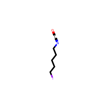 O=C=NCCCCCI